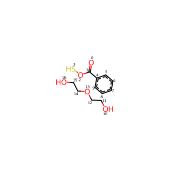 O=C(OS)c1ccccc1.OCCOCCO